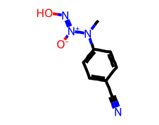 CN(c1ccc(C#N)cc1)/[N+]([O-])=N/O